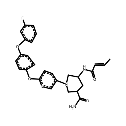 C/C=C/C(=O)NC1CC(C(N)=O)CN(c2ccc(Oc3ccc(Oc4cccc(F)c4)cc3)nc2)C1